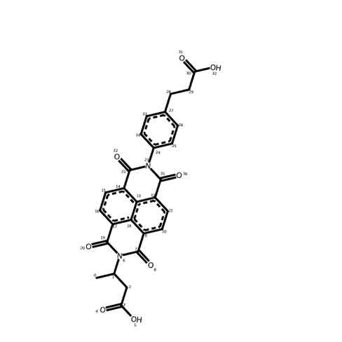 CC(CC(=O)O)N1C(=O)c2ccc3c4c(ccc(c24)C1=O)C(=O)N(c1ccc(CCC(=O)O)cc1)C3=O